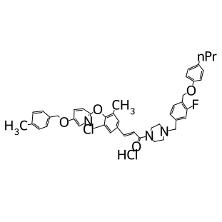 CCCc1ccc(OCc2ccc(CN3CCN(C(=O)/C=C/c4cc(C)c(Oc5ccc(OCc6ccc(C)cc6)cn5)c(Cl)c4)CC3)cc2F)cc1.Cl